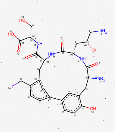 NC[C@H](O)C[C@@H]1NC(=O)[C@@H](N)Cc2cc(ccc2O)-c2ccc(CI)c(c2)C[C@@H](C(=O)N[C@@H](CO)C(=O)O)NC1=O